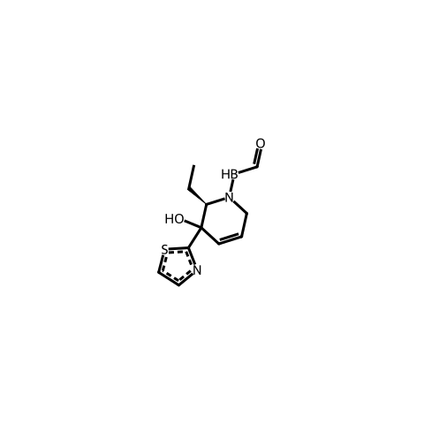 CC[C@H]1N(BC=O)CC=CC1(O)c1nccs1